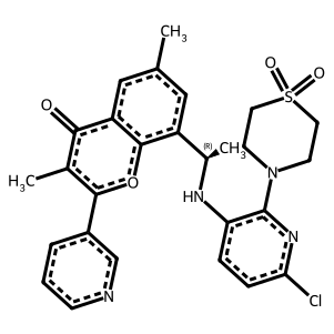 Cc1cc([C@@H](C)Nc2ccc(Cl)nc2N2CCS(=O)(=O)CC2)c2oc(-c3cccnc3)c(C)c(=O)c2c1